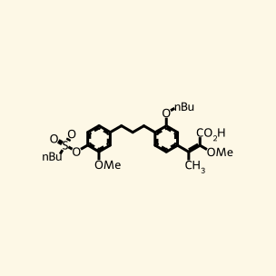 CCCCOc1cc(C(C)=C(OC)C(=O)O)ccc1CCCc1ccc(OS(=O)(=O)CCCC)c(OC)c1